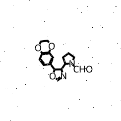 O=CN1CCCC1C1N=COC1c1ccc2c(c1)OCCO2